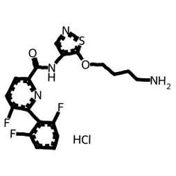 Cl.NCCCCOc1sncc1NC(=O)c1ccc(F)c(-c2c(F)cccc2F)n1